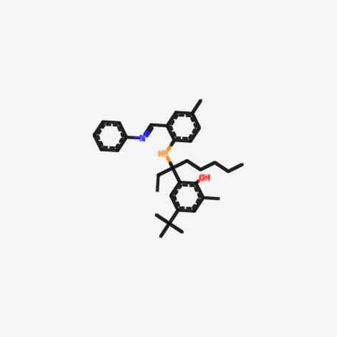 CCCCCC(CC)(Pc1ccc(C)cc1/C=N/c1ccccc1)c1cc(C(C)(C)C)cc(C)c1O